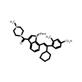 CCCCCn1cc(C(=O)N2CCN(C)CC2)c2cccc(/C=C(/c3ccc(C(=O)O)cc3C)C3CCCCC3)c21